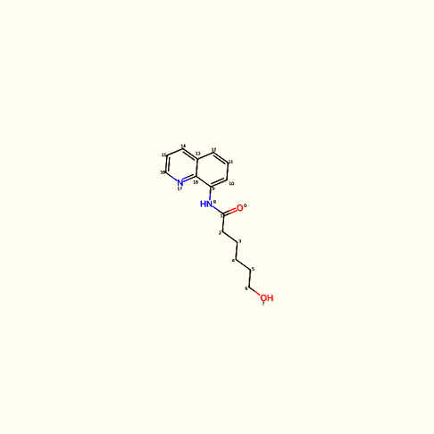 O=C(CCCCCO)Nc1cccc2cccnc12